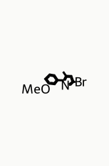 COc1cccc(-c2ncc(Br)cc2C)c1